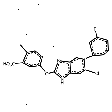 Cc1ccc(Oc2nc3cc(-c4cccc(F)c4)c(Cl)cc3[nH]2)cc1C(=O)O